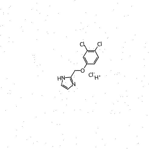 Clc1ccc(OCc2ncc[nH]2)cc1Cl.[Cl-].[H+]